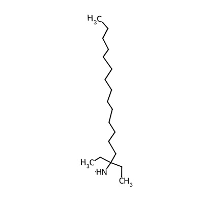 CCCCCCCCCCCCCCC([NH])(CC)CC